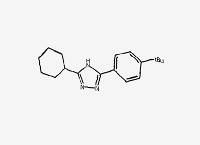 CC(C)(C)c1ccc(-c2nnc(C3CCCCC3)[nH]2)cc1